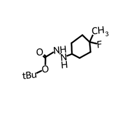 CC1(F)CCC(NNC(=O)OC(C)(C)C)CC1